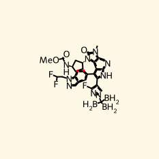 BC(B)(B)n1cc(-c2[nH]c3ncc4c(c3c2-c2ccc3c(cnn3CC(F)F)c2)n([C@@H]2CC[C@@H](NC(=O)OC)C2)c(=O)n4C)c(F)n1